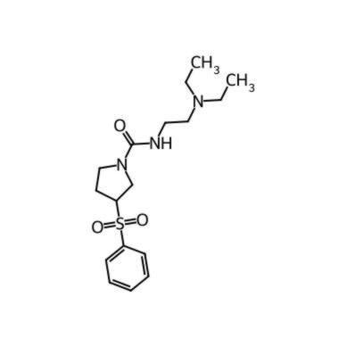 CCN(CC)CCNC(=O)N1CCC(S(=O)(=O)c2ccccc2)C1